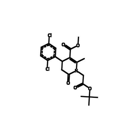 COC(=O)C1=C(C)N(CC(=O)OC(C)(C)C)C(=O)CC1c1cc(Cl)ccc1Cl